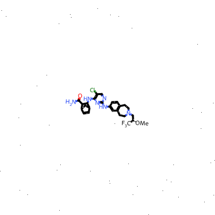 CO[C@@H](CN1CCc2ccc(Nc3ncc(Cl)c(NC4C5C=CC(C5)C4C(N)=O)n3)cc2CC1)C(F)(F)F